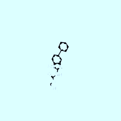 CCOC(=O)Nc1nc2cc(-c3ccccc3)ccc2[nH]1